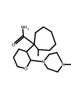 CC1CCCCCC1(C(N)=O)C1CCCOC1N1CCN(C)CC1